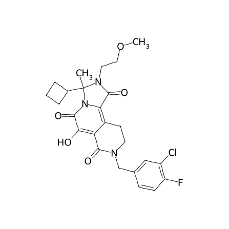 COCCN1C(=O)c2c3c(c(O)c(=O)n2C1(C)C1CCC1)C(=O)N(Cc1ccc(F)c(Cl)c1)CC3